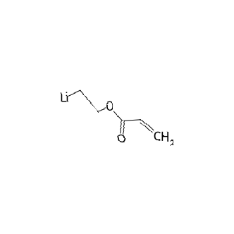 [Li][CH2]COC(=O)C=C